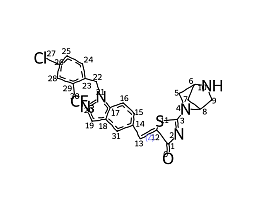 O=C1N=C(N2CC3CC2CN3)S/C1=C\c1ccc2c(cnn2Cc2ccc(Cl)cc2C(F)(F)F)c1